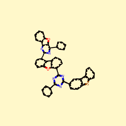 c1ccc(-c2nc(-c3ccc4sc5ccccc5c4c3)nc(-c3cccc4c3oc3cccc(-c5nc(-c6ccccc6)c6oc7ccccc7c6n5)c34)n2)cc1